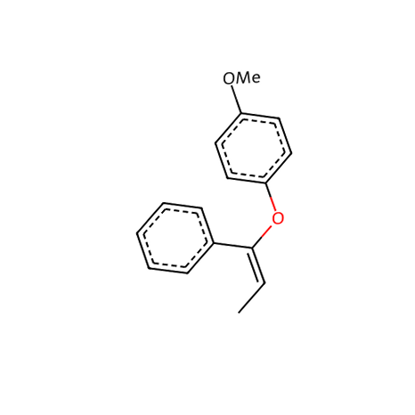 CC=C(Oc1ccc(OC)cc1)c1ccccc1